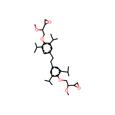 COC(COc1c(C(C)C)cc(CCc2cc(C(C)C)c(OCC(OC)C3CO3)c(C(C)C)c2)cc1C(C)C)C1CO1